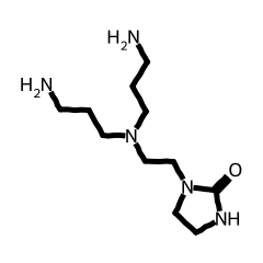 NCCCN(CCCN)CCN1CCNC1=O